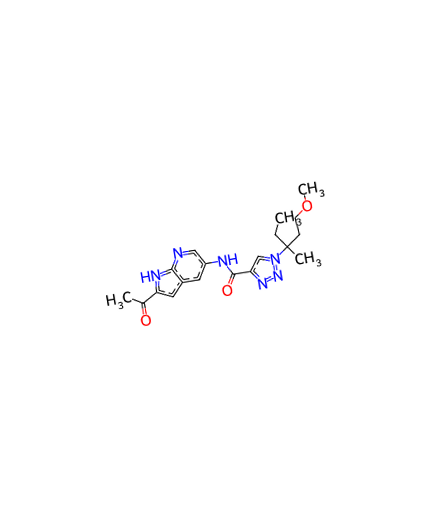 CCC(C)(CCOC)n1cc(C(=O)Nc2cnc3[nH]c(C(C)=O)cc3c2)nn1